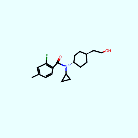 Cc1ccc(C(=O)N(C2CC2)[C@H]2CC[C@H](CCO)CC2)c(F)c1